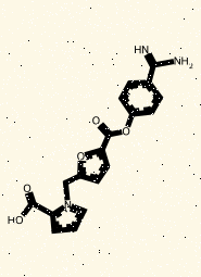 N=C(N)c1ccc(OC(=O)c2ccc(Cn3cccc3C(=O)O)o2)cc1